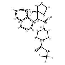 CC(C)(C)OC(=O)N1CCN(C(=O)C(c2cccc3ccccc23)C2(O)CCCC2)CC1